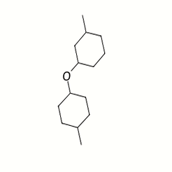 CC1CCC(OC2CCCC(C)C2)CC1